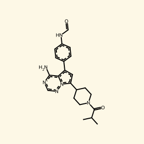 CC(C)C(=O)N1CCC(c2cc(-c3ccc(NC=O)cc3)c3c(N)ncnn23)CC1